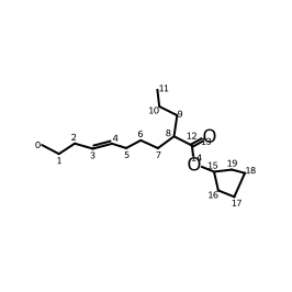 CCCC=CCCCC(CCC)C(=O)OC1CCCC1